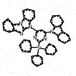 c1ccc([Si](c2ccccc2)(c2ccccc2)c2nc(-n3c4ccccc4c4ccccc43)cc(-n3c4ccccc4n4c5ccccc5nc34)n2)cc1